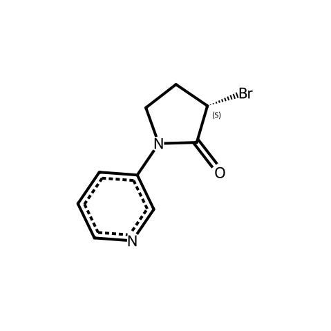 O=C1[C@@H](Br)CCN1c1cccnc1